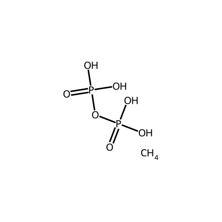 C.O=P(O)(O)OP(=O)(O)O